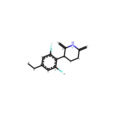 C=C1CCC(c2c(F)cc(CC)cc2F)C(=C)N1